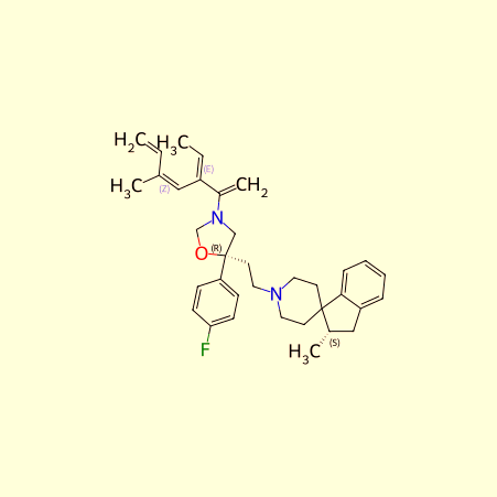 C=C/C(C)=C\C(=C/C)C(=C)N1CO[C@](CCN2CCC3(CC2)c2ccccc2C[C@@H]3C)(c2ccc(F)cc2)C1